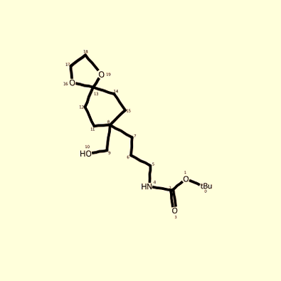 CC(C)(C)OC(=O)NCCCC1(CO)CCC2(CC1)OCCO2